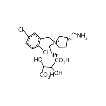 CC(C)C[N+]1(Cc2cc(Cl)ccc2Cl)CC[C@@H](CN)C1.O=C(O)C(O)C(O)C(=O)O